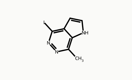 Cc1nnc(I)c2cc[nH]c12